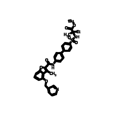 CCC(C)(NS(=O)(=O)c1ccc(-c2ccc(NC(=O)c3oc4cccc(OCc5cccnc5)c4c3C)cc2)cc1)C(=O)OC(C)(C)C